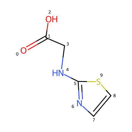 O=C(O)CNc1nccs1